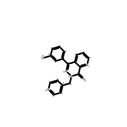 O=c1c2ncccc2c(-c2cccc(Cl)c2)nn1Cc1ccncc1